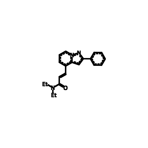 CCN(CC)C(=O)C=Cc1cccn2nc(-c3ccccc3)cc12